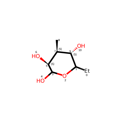 CCC1OC(O)[C@@H](O)[C@@H](C)[C@@H]1O